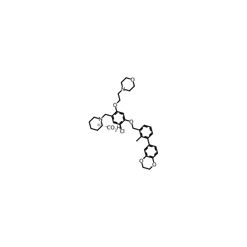 Cc1c(COc2cc(OCCN3CCOCC3)c(CN3CCCC[C@H]3C(=O)O)cc2Cl)cccc1-c1ccc2c(c1)OCCO2